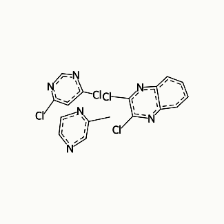 Cc1cnccn1.Clc1cc(Cl)ncn1.Clc1nc2ccccc2nc1Cl